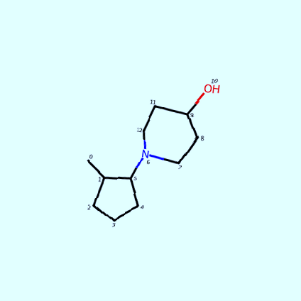 CC1CCCC1N1CCC(O)CC1